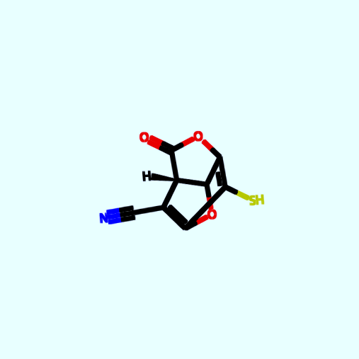 N#CC1=C2OC3C(=C2S)OC(=O)[C@@H]13